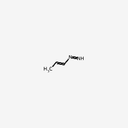 CC=CN=N